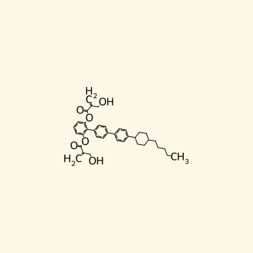 C=C(CO)C(=O)Oc1cccc(OC(=O)C(=C)CO)c1-c1ccc(-c2ccc(C3CCC(CCCCC)CC3)cc2)cc1